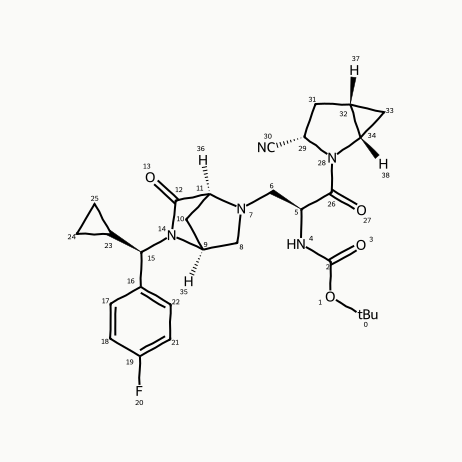 CC(C)(C)OC(=O)N[C@@H](CN1C[C@@H]2C[C@H]1C(=O)N2[C@@H](c1ccc(F)cc1)C1CC1)C(=O)N1[C@H](C#N)C[C@@H]2C[C@@H]21